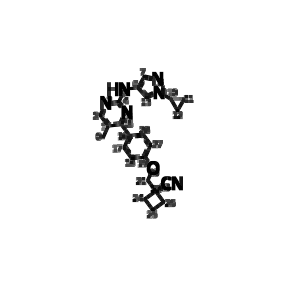 Cc1cnc(Nc2cnn(C3CC3)c2)nc1-c1ccc(OCC2(C#N)CCC2)cc1